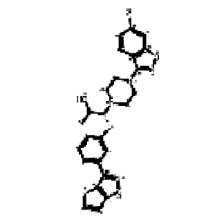 CC(O)[C@@H](Oc1cccc(-c2noc3ccsc23)c1)N1CCN(c2noc3cc(O)ccc23)CC1